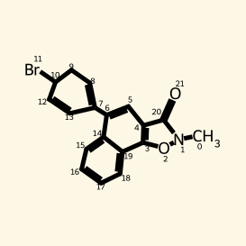 Cn1oc2c(cc(C3=CCC(Br)C=C3)c3ccccc32)c1=O